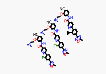 Cc1nc(-c2ccc(-c3ccc(C(=O)Nc4ccc(C#N)c(OCCN(C)C)c4)cn3)c(C3CC3)c2)no1.Cc1nc(-c2ccc(-c3ccc(C(=O)Nc4ccc(C#N)c(OCCN(C)C)c4)cn3)c(Cl)c2)no1.Cc1nc(-c2ccc(-c3ccc(C(=O)Nc4ccc(C#N)c(OCCN(C)C)c4)cn3)c(F)c2)no1